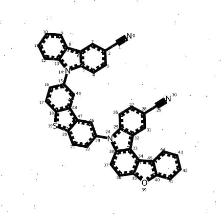 N#Cc1ccc2c(c1)c1ccccc1n2-c1ccc2sc3ccc(-n4c5ccc(C#N)cc5c5c6c(ccc54)oc4ccccc46)cc3c2c1